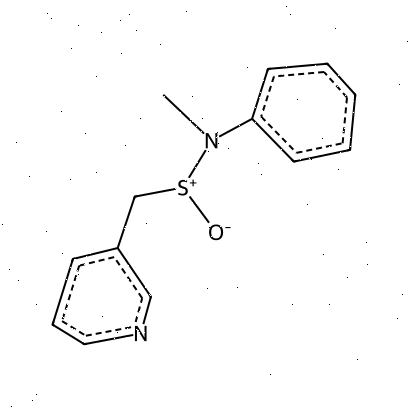 CN(c1ccccc1)[S+]([O-])Cc1cccnc1